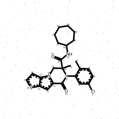 Cc1ccc(Cl)cc1N1C(=O)c2cc3sccc3n2CC1(C)C(=O)NC1CCCCCC1